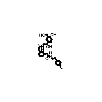 C[C@H](Cc1cccc(CC(=O)NCCc2ccc(Cl)cc2)c1)NC[C@@H](O)c1ccc(O)c(CO)c1